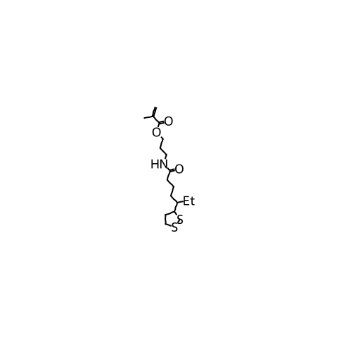 C=C(C)C(=O)OCCCNC(=O)CCCC(CC)C1CCSS1